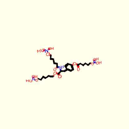 O=C(CCCCCON(O)O)NC(Cc1ccc(OC(=O)CCCCCON(O)O)cc1)C(=O)OCCCCCCON(O)O